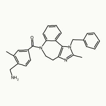 Cc1cc(C(=O)N2CCc3nc(C)n(Cc4ccccc4)c3-c3ccccc32)ccc1CN